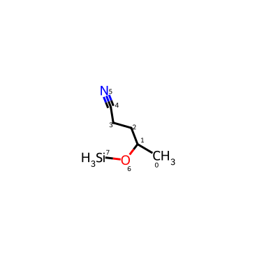 CC(CCC#N)O[SiH3]